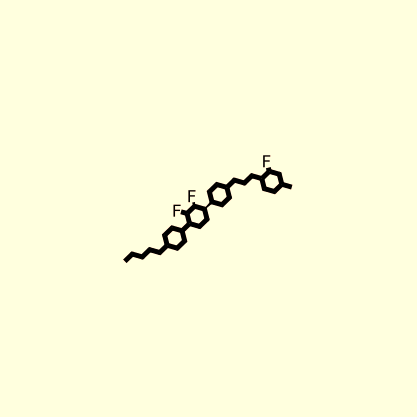 CCCCCC1CCC(C2CC[C@H](C3CCC(CCCC4CCC(C)CC4F)CC3)[C@H](F)C2F)CC1